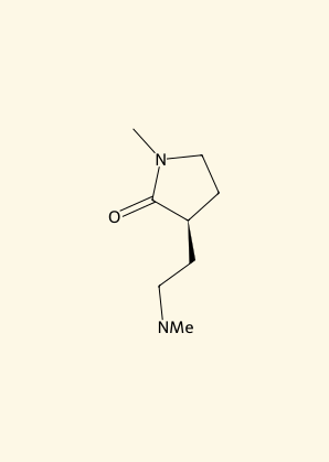 CNCC[C@@H]1CCN(C)C1=O